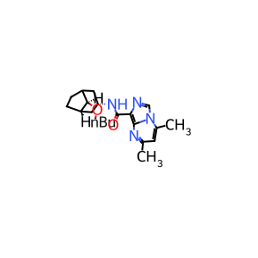 CCCCO[C@@H]1C2CC[C@H]1C[C@@H](NC(=O)c1ncn3c(C)cc(C)nc13)C2